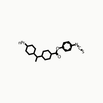 CCCC1CCC(C(C)C2CCC(C(=O)Oc3ccc(N=C=S)cc3)CC2)CC1